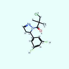 CCC(C)(CCl)C(=O)N1N=CCC1c1cc(F)cc(F)c1